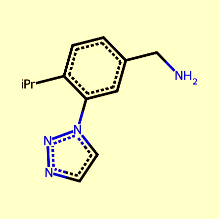 CC(C)c1ccc(CN)cc1-n1ccnn1